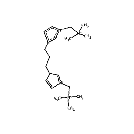 C[N+](C)(C)C[N+]1=CC(CCCn2cc[n+](C[N+](C)(C)C)c2)C=C1